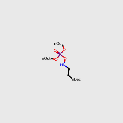 CCCCCCCCCCCCNOP(=O)(OCCCCCCCC)OCCCCCCCC